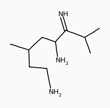 CC(CCN)CC(N)C(=N)C(C)C